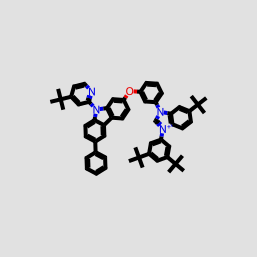 CC(C)(C)c1cc(-[n+]2cn(-c3cccc(Oc4ccc5c6cc(-c7ccccc7)ccc6n(-c6cc(C(C)(C)C)ccn6)c5c4)c3)c3cc(C(C)(C)C)ccc32)cc(C(C)(C)C)c1